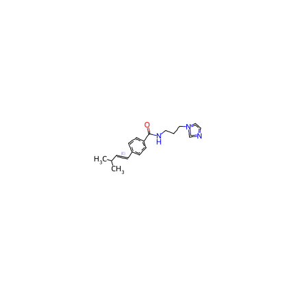 CC(C)/C=C/c1ccc(C(=O)NCCCn2ccnc2)cc1